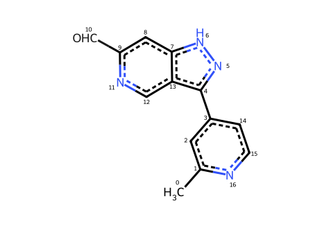 Cc1cc(-c2n[nH]c3cc(C=O)ncc23)ccn1